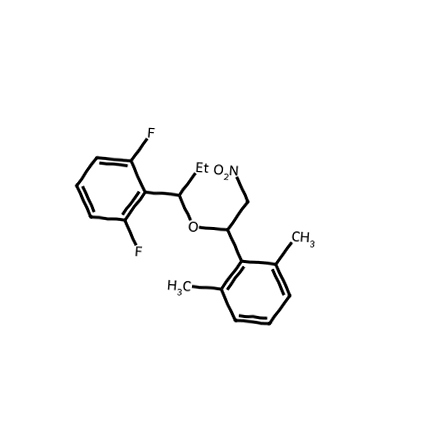 CCC(OC(C[N+](=O)[O-])c1c(C)cccc1C)c1c(F)cccc1F